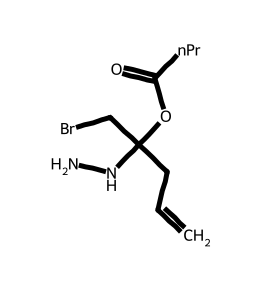 C=CCC(CBr)(NN)OC(=O)CCC